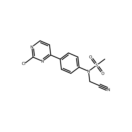 CS(=O)(=O)N(CC#N)c1ccc(-c2ccnc(Cl)n2)cc1